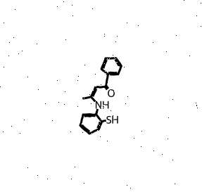 C/C(=C/C(=O)c1ccccc1)Nc1ccccc1S